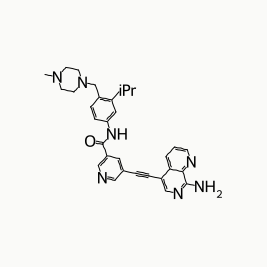 CC(C)c1cc(NC(=O)c2cncc(C#Cc3cnc(N)c4ncccc34)c2)ccc1CN1CCN(C)CC1